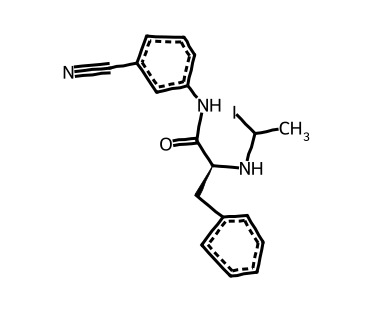 CC(I)N[C@@H](Cc1ccccc1)C(=O)Nc1cccc(C#N)c1